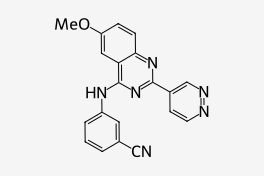 COc1ccc2nc(-c3ccnnc3)nc(Nc3cccc(C#N)c3)c2c1